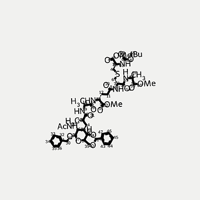 COC(=O)[C@H](CSC[C@@H](NC(=O)CC[C@@H](NC(=O)[C@H](C)NC(=O)[C@@H](C)C[C@@H]1C(NC(C)=O)[C@@H](OCc2ccccc2)OC2COC(c3ccccc3)O[C@H]21)C(=O)OC)C(=O)N[C@H](C)C(=O)OC)NC(=O)OC(C)(C)C